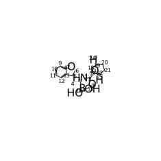 O=C(N[C@@H](C[C@H]1COc2ccccc21)B(O)O)[C@H]1C[C@@H]2CC[C@H]1O2